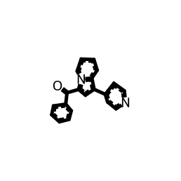 O=C(c1ccccc1)c1cc(-c2ccncc2)c2ccccn12